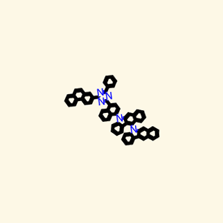 c1ccc(-c2nc(-c3ccc4c(ccc5ccccc54)c3)nc(-c3ccc(-n4c5ccccc5c5c(-n6c7ccccc7c7cc8ccccc8cc76)c6ccccc6cc54)c4ccccc34)n2)cc1